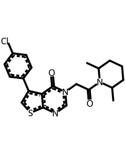 CC1CCCC(C)N1C(=O)Cn1cnc2scc(-c3ccc(Cl)cc3)c2c1=O